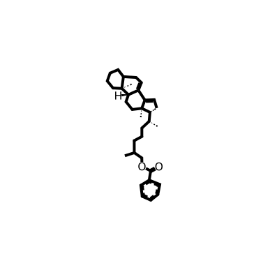 CC(CCC[C@@H](C)[C@H]1CC=C2C3=CCC4CCCC[C@]4(C)[C@H]3CC[C@@]21C)COC(=O)c1ccccc1